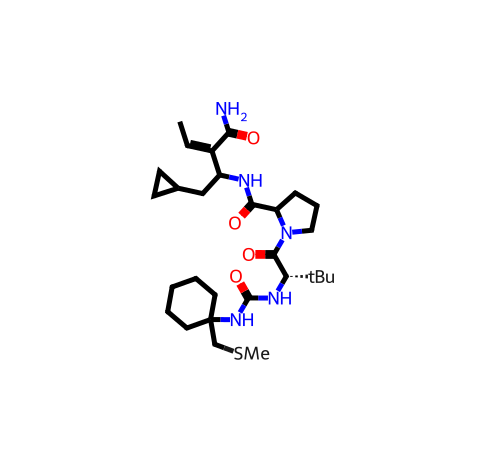 CC=C(C(N)=O)C(CC1CC1)NC(=O)C1CCCN1C(=O)[C@@H](NC(=O)NC1(CSC)CCCCC1)C(C)(C)C